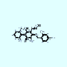 Cc1c(/C=N/O)c(OCc2ccc(F)cc2F)c(Br)c(=O)n1-c1c(F)cccc1F